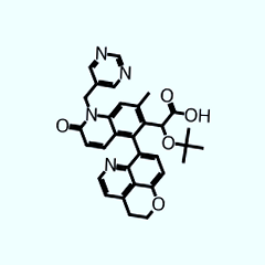 Cc1cc2c(ccc(=O)n2Cc2cncnc2)c(-c2ccc3c4c(ccnc24)CCO3)c1C(OC(C)(C)C)C(=O)O